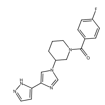 O=C(c1ccc(F)cc1)N1CCCC(n2cnc(-c3ccn[nH]3)c2)C1